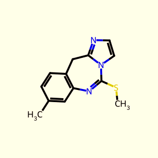 CSC1=Nc2cc(C)ccc2Cc2nccn21